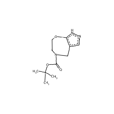 CC(C)(C)OC(=O)N1CCOc2[nH]ncc2C1